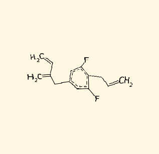 C=CCc1c(F)cc(CC(=C)C=C)cc1F